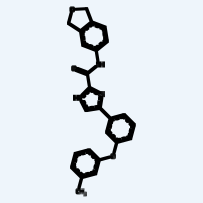 Cc1cccc(Oc2cccc(-c3c[nH]c(C(=O)Nc4ccc5c(c4)COC5)n3)c2)c1